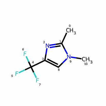 Cc1nc(C(F)(F)F)cn1C